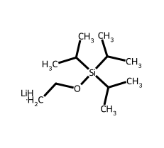 [CH2]CO[Si](C(C)C)(C(C)C)C(C)C.[LiH]